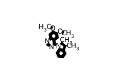 COc1cc2ncnc(N3c4ccccc4[C@H](C)[C@@H]3C)c2cc1OC